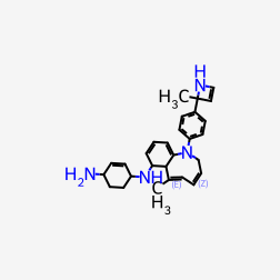 C/C1=C\C=C/CN(c2ccc(C3(C)C=CN3)cc2)C2=CC=CC(NC3C=CC(N)CC3)C21